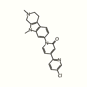 CN1CCc2c(n(C)c3cc(-n4ccc(-c5ccc(Cl)cn5)cc4=O)ccc23)C1